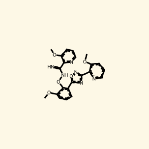 COc1cccnc1C(=N)NOc1c(OC)cccc1-c1nc(-c2ncccc2OC)no1